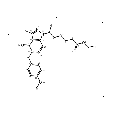 CCOC(=O)CCOCC(C)n1nc(C)c2c(=O)n(Cc3ccc(OC)cc3)ncc21